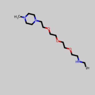 CC(C)CNCCOCCOCCOCCN1CCN(C)CC1